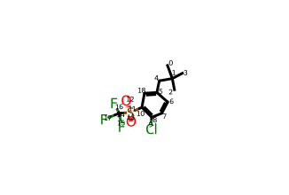 CC(C)(C)Cc1ccc(Cl)c(S(=O)(=O)C(F)(F)F)c1